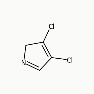 ClC1=C(Cl)CN=C1